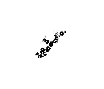 CC(C)c1ccccc1C1CN(Cc2cnn(C3CC3)c2)CCN1C1CC2(CCN(c3ccc(C(=O)NS(=O)(=O)c4cnc(NC[C@H]5CC[C@](C)(O)CC5)c([NH+](C)[O-])c4)c(Oc4cnc5[nH]cc(F)c5c4)c3)CC2)C1